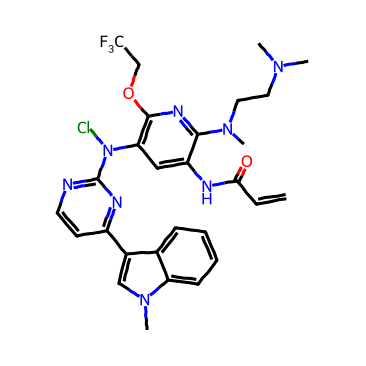 C=CC(=O)Nc1cc(N(Cl)c2nccc(-c3cn(C)c4ccccc34)n2)c(OCC(F)(F)F)nc1N(C)CCN(C)C